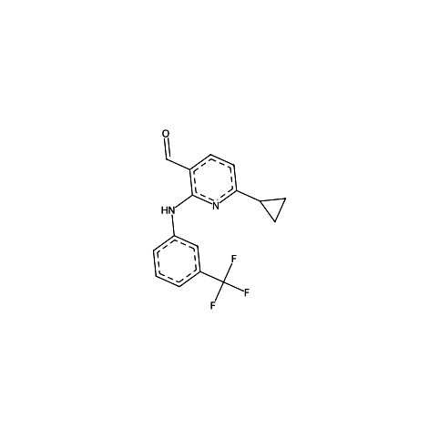 O=Cc1ccc(C2CC2)nc1Nc1cccc(C(F)(F)F)c1